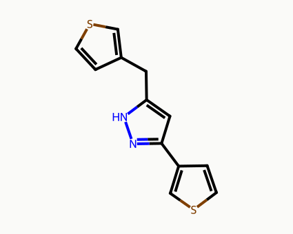 c1cc(Cc2cc(-c3ccsc3)n[nH]2)cs1